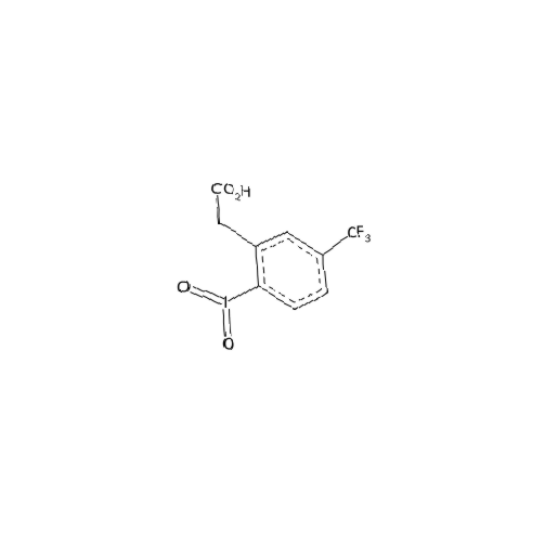 O=C(O)Cc1cc(C(F)(F)F)ccc1I(=O)=O